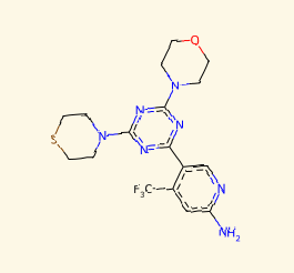 Nc1cc(C(F)(F)F)c(-c2nc(N3CCOCC3)nc(N3CCSCC3)n2)cn1